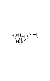 S.S.S.S.S.[SeH2]